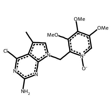 COc1c[n+]([O-])c(Cn2cc(C)c3c(Cl)nc(N)nc32)c(OC)c1OC